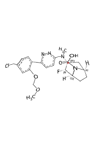 COCOc1cc(Cl)ccc1-c1ccc(N(C)[C@@H]2C[C@H]3CC[C@@H]([C@@H]2F)N3C(=O)O)nn1